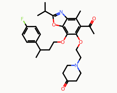 CC(=O)c1c(OCCN2CCC(=O)CC2)c(OCCC(C)c2ccc(F)cc2)c2oc(C(C)C)nc2c1C